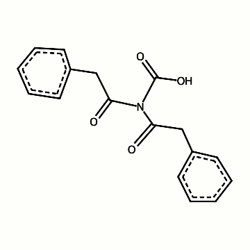 O=C(O)N(C(=O)Cc1ccccc1)C(=O)Cc1ccccc1